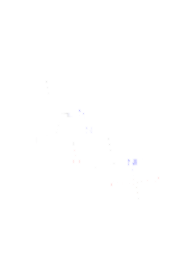 CS(=O)(=O)N[C@@H]1COc2c(I)c(C3CC3)nn2C1